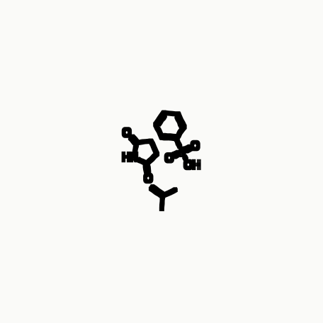 C=C(C)C.O=C1CCC(=O)N1.O=S(=O)(O)c1ccccc1